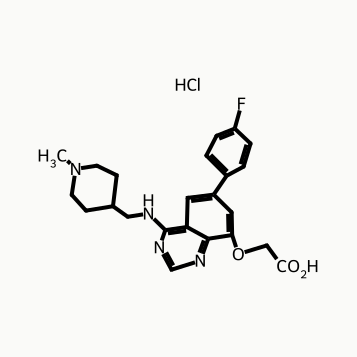 CN1CCC(CNc2ncnc3c(OCC(=O)O)cc(-c4ccc(F)cc4)cc23)CC1.Cl